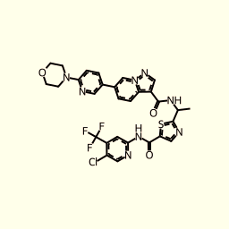 CC(NC(=O)c1cnn2cc(-c3ccc(N4CCOCC4)nc3)ccc12)c1ncc(C(=O)Nc2cc(C(F)(F)F)c(Cl)cn2)s1